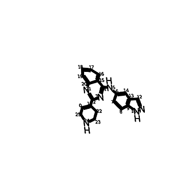 C1=C(c2nc(Nc3ccc4[nH]ncc4c3)c3ccccc3n2)CCNC1